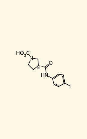 O=C(Nc1ccc(I)cc1)[C@@H]1CCN(C(=O)O)C1